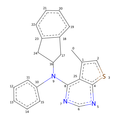 Cc1csc2ncnc(N(c3ccccc3)C3Cc4ccccc4C3)c12